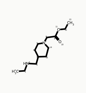 CCNCC1CCN(CC(=O)OCC)CC1